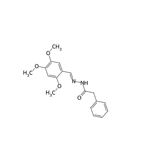 COc1cc(OC)c(OC)cc1/C=N/NC(=O)Cc1ccccc1